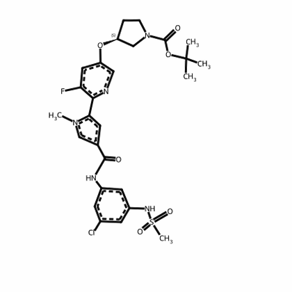 Cn1cc(C(=O)Nc2cc(Cl)cc(NS(C)(=O)=O)c2)cc1-c1ncc(O[C@H]2CCN(C(=O)OC(C)(C)C)C2)cc1F